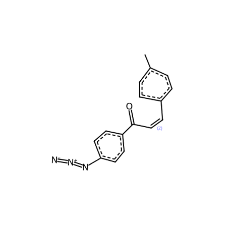 Cc1ccc(/C=C\C(=O)c2ccc(N=[N+]=[N-])cc2)cc1